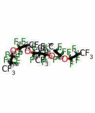 FC(F)(F)C(F)(F)C(F)(F)OC(F)(F)C(F)(OC(F)(F)C(C(F)(F)F)(C(F)(F)F)C(F)(F)OC(F)(C(F)(F)F)C(F)(F)OC(F)(F)C(F)(F)C(F)(F)F)C(F)(F)F